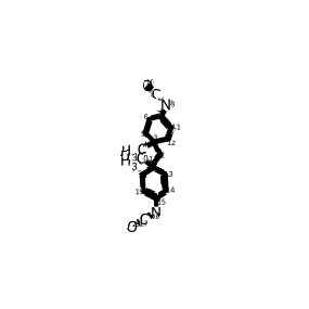 CC1(CC2(C)C=CC(N=C=O)=CC2)C=CC(N=C=O)=CC1